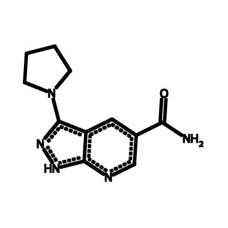 NC(=O)c1cnc2[nH]nc(N3CCCC3)c2c1